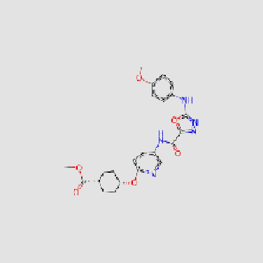 COc1ccc(Nc2nnc(C(=O)Nc3ccc(O[C@H]4CC[C@@H](C(=O)OC)CC4)nc3)o2)cc1